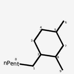 [CH2]CCCCCC1C[CH]C(C)CC1C